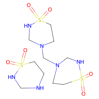 O=S1(=O)CCN(CN2CCS(=O)(=O)NC2)CN1.O=S1(=O)CCNCN1